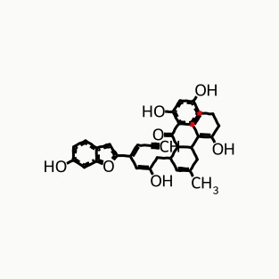 C#C/C=C(\C=C(\O)CC1C=C(C)CC(C2=C(O)CCC=C2)C1C(=O)c1ccc(O)cc1O)c1cc2ccc(O)cc2o1